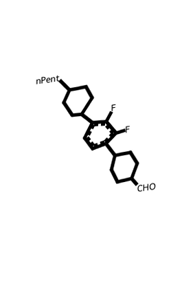 CCCCCC1CCC(c2ccc(C3CCC(C=O)CC3)c(F)c2F)CC1